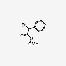 CCC(C(=O)OOC)c1ccccc1